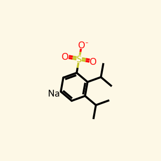 CC(C)c1cccc(S(=O)(=O)[O-])c1C(C)C.[Na+]